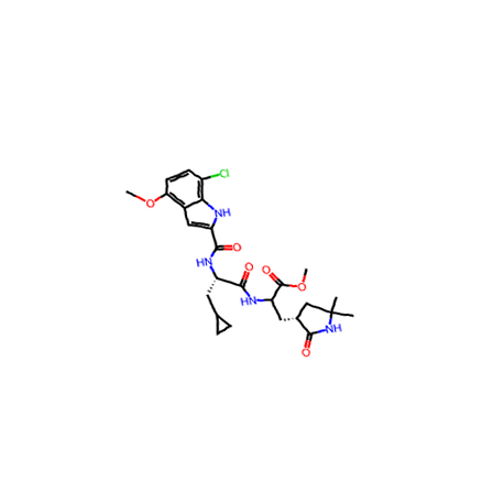 COC(=O)C(C[C@@H]1CC(C)(C)NC1=O)NC(=O)[C@H](CC1CC1)NC(=O)c1cc2c(OC)ccc(Cl)c2[nH]1